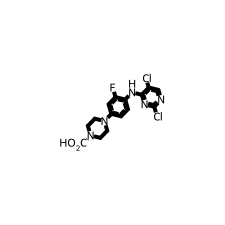 O=C(O)N1CCN(c2ccc(Nc3nc(Cl)ncc3Cl)c(F)c2)CC1